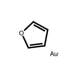 [Au].c1ccoc1